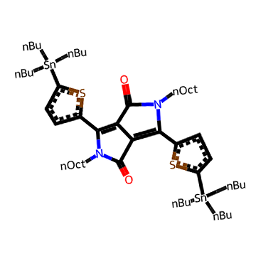 CCCCCCCCN1C(=O)C2=C(c3cc[c]([Sn]([CH2]CCC)([CH2]CCC)[CH2]CCC)s3)N(CCCCCCCC)C(=O)C2=C1c1cc[c]([Sn]([CH2]CCC)([CH2]CCC)[CH2]CCC)s1